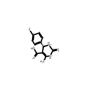 CC1=C(C(=O)O)[C@@H](c2ccc(F)cc2)NC(=O)N1